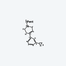 CCCCCN1CC=C(c2cccc(C(F)(F)F)c2)CC1